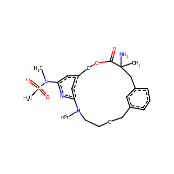 CCCN1CCCCc2cccc(c2)CC(C)(N)C(=O)OCc2cc1nc(N(C)S(C)(=O)=O)c2